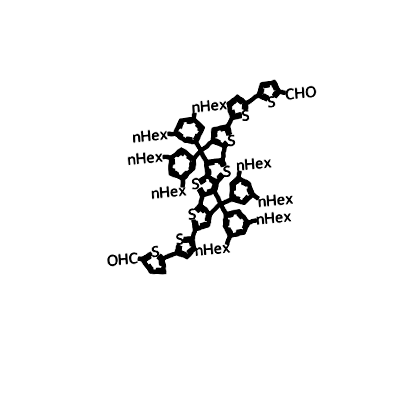 CCCCCCc1cc(CCCCCC)cc(C2(c3cc(CCCCCC)cc(CCCCCC)c3)c3cc(-c4ccc(-c5ccc(C=O)s5)s4)sc3-c3sc4c5c(sc4c32)-c2sc(-c3ccc(-c4ccc(C=O)s4)s3)cc2C5(c2cc(CCCCCC)cc(CCCCCC)c2)c2cc(CCCCCC)cc(CCCCCC)c2)c1